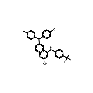 Oc1cc(Nc2ccc(C(F)(F)F)cc2)c2cc(C(c3ccc(Cl)cc3)c3ccc(Cl)cc3)ccc2n1